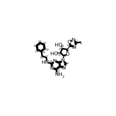 Cc1noc([C@H]2O[C@@H](n3cnc4c(N)nc(NCCc5ccccc5)nc43)[C@H](O)[C@@H]2O)n1